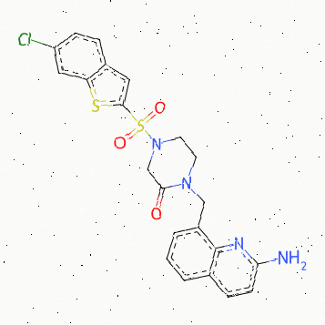 Nc1ccc2cccc(CN3CCN(S(=O)(=O)c4cc5ccc(Cl)cc5s4)CC3=O)c2n1